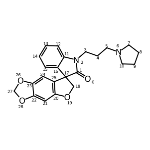 O=C1N(CCCN2CCCC2)c2ccccc2C12COc1cc3c(cc12)OCO3